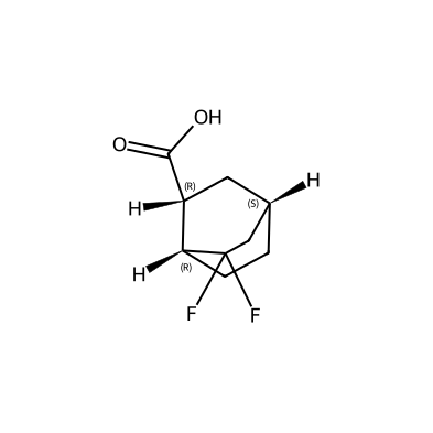 O=C(O)[C@@H]1C[C@@H]2CC[C@H]1C(F)(F)C2